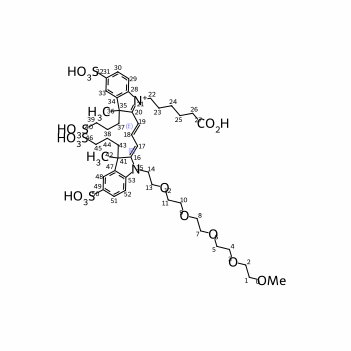 COCCOCCOCCOCCOCCN1/C(=C/C=C/C2=[N+](CCCCCC(=O)O)c3ccc(S(=O)(=O)O)cc3C2(C)CCCS(=O)(=O)O)C(C)(CCCS(=O)(=O)O)c2cc(S(=O)(=O)O)ccc21